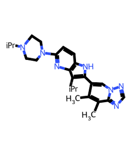 Cc1c(-c2[nH]c3ccc(N4CCN(C(C)C)CC4)nc3c2C(C)C)cn2ncnc2c1C